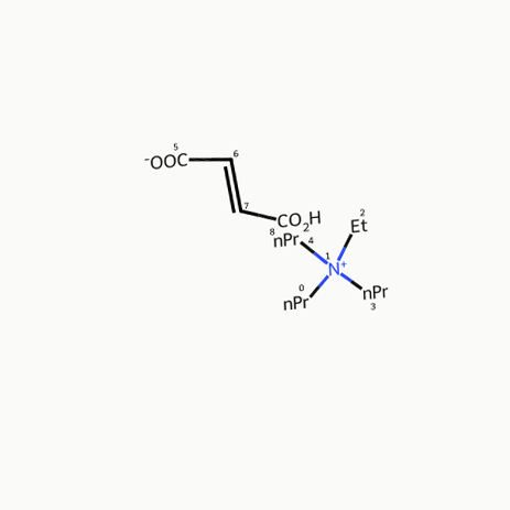 CCC[N+](CC)(CCC)CCC.O=C([O-])C=CC(=O)O